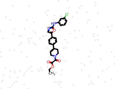 CCOC(=O)C(=O)N1CC=C(c2ccc(-c3cnc(Nc4cccc(Cl)c4)o3)cc2)CC1